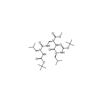 COC(=O)[C@H](CNC(=O)[C@H](CC(C)C)NC(=O)OC(C)(C)C)NC(=O)[C@H](CC(C)C)NC(=O)OC(C)(C)C